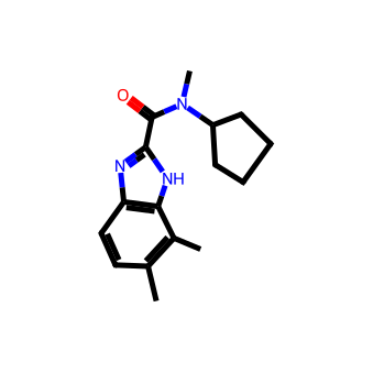 Cc1ccc2nc(C(=O)N(C)C3CCCC3)[nH]c2c1C